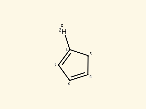 [2H]C1=CC=CC1